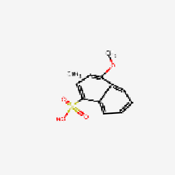 COc1ccc(S(=O)(=O)O)c2ccccc12.[CaH2]